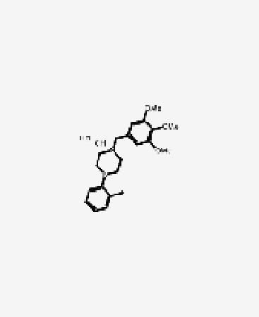 CCc1ccccc1N1CCN(Cc2cc(OC)c(OC)c(OC)c2)CC1.Cl.Cl